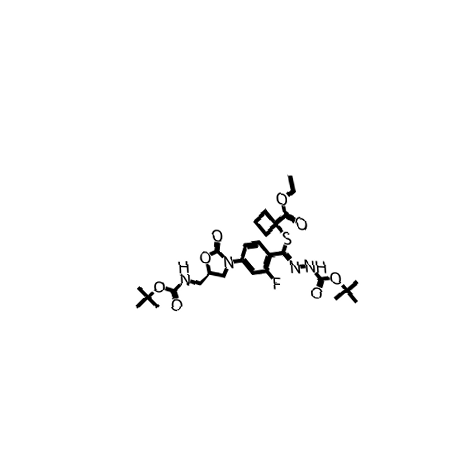 CCOC(=O)C1(SC(=NNC(=O)OC(C)(C)C)c2ccc(N3C[C@@H](CNC(=O)OC(C)(C)C)OC3=O)cc2F)CCC1